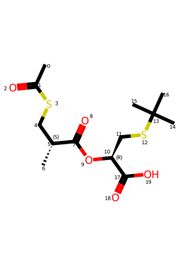 CC(=O)SC[C@@H](C)C(=O)O[C@@H](CSC(C)(C)C)C(=O)O